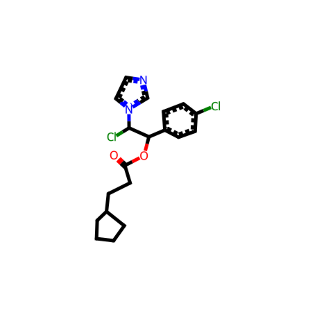 O=C(CCC1CCCC1)OC(c1ccc(Cl)cc1)C(Cl)n1ccnc1